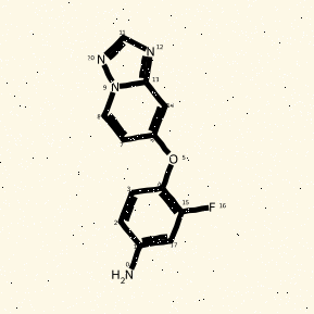 Nc1ccc(Oc2ccn3ncnc3c2)c(F)c1